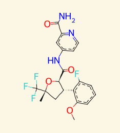 COc1cccc(F)c1[C@@H]1C[C@](C)(C(F)(F)F)O[C@H]1C(=O)Nc1ccnc(C(N)=O)c1